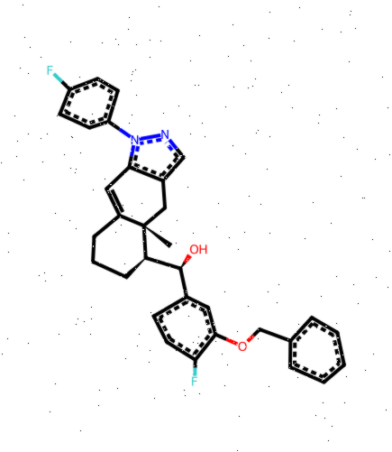 C[C@]12Cc3cnn(-c4ccc(F)cc4)c3C=C1CCC[C@@H]2[C@@H](O)c1ccc(F)c(OCc2ccccc2)c1